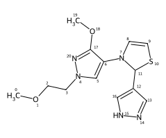 COCCn1cc(N2C=CSC2c2cn[nH]c2)c(OC)n1